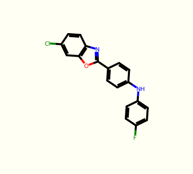 Fc1ccc(Nc2ccc(-c3nc4ccc(Cl)cc4o3)cc2)cc1